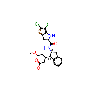 COCCC(CC(=O)O)[C@@H]1c2ccccc2C[C@H]1NC(=O)C1Cc2sc(Cl)c(Cl)c2N1